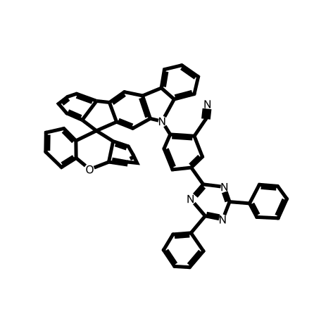 N#Cc1cc(-c2nc(-c3ccccc3)nc(-c3ccccc3)n2)ccc1-n1c2ccccc2c2cc3c(cc21)C1(c2ccccc2Oc2ccccc21)c1ccccc1-3